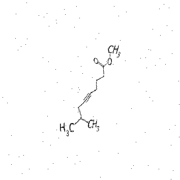 COC(=O)CCCC#CCC(C)C